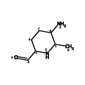 CC1NC(C=O)CCC1N